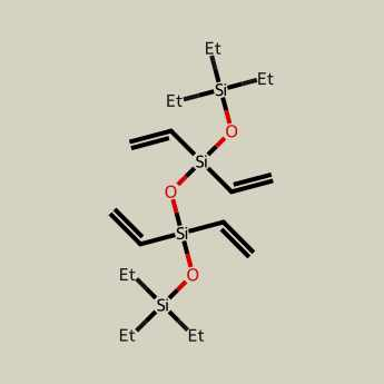 C=C[Si](C=C)(O[Si](CC)(CC)CC)O[Si](C=C)(C=C)O[Si](CC)(CC)CC